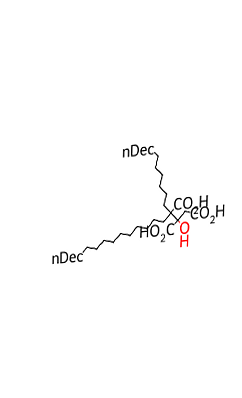 CCCCCCCCCCCCCCCCCCCCC(CCCCCCCCCCCCCCCC)(C(=O)O)C(O)(CC(=O)O)C(=O)O